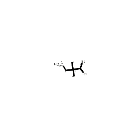 CCC(Cl)C(C)(C)CC(=O)O